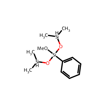 CO[Si](O[SiH](C)C)(O[SiH](C)C)c1ccccc1